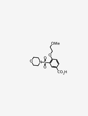 COCCOc1ccc(C(=O)O)cc1S(=O)(=O)N1CCOCC1